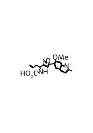 C=CCC(NC(=O)O)c1cc(-c2cc3ccc(C)nc3cc2OC)on1